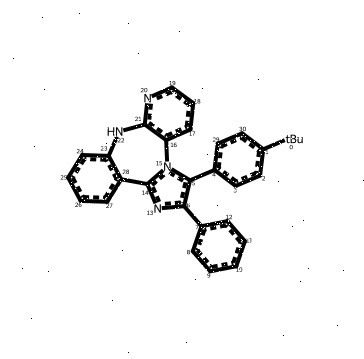 CC(C)(C)c1ccc(-c2c(-c3ccccc3)nc3n2-c2cccnc2Nc2ccccc2-3)cc1